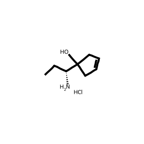 CC[C@@H](N)C1(O)CC=CC1.Cl